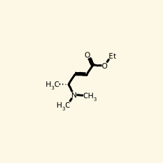 CCOC(=O)/C=C/[C@@H](C)N(C)C